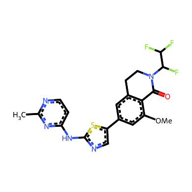 COc1cc(-c2cnc(Nc3ccnc(C)n3)s2)cc2c1C(=O)N(C(F)C(F)F)CC2